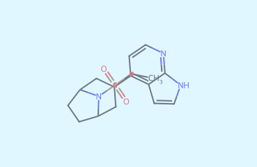 CCS(=O)(=O)N1C2CCC1CC(c1ccnc3[nH]ccc13)C2